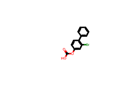 O=C(O)Oc1ccc(-c2ccccc2)c(Br)c1